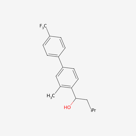 Cc1cc(-c2ccc(C(F)(F)F)cc2)ccc1C(O)CC(C)C